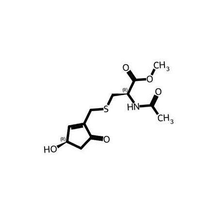 COC(=O)[C@H](CSCC1=C[C@H](O)CC1=O)NC(C)=O